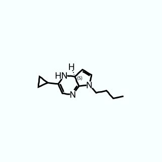 CCCCN1C=C[C@@H]2NC(C3CC3)=CN=C21